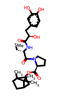 CSC[C@H](NC(=O)[C@H](O)Cc1ccc(O)c(O)c1)C(=O)N1CCC[C@H]1C(=O)OC1CC2CCC1(C)C2(C)C